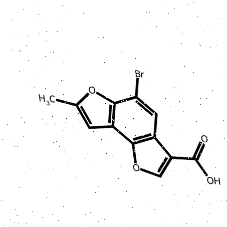 Cc1cc2c(o1)c(Br)cc1c(C(=O)O)coc12